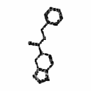 O=C(OCc1ccccc1)N1C=Cc2ncsc2C1